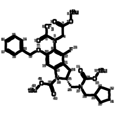 CC(C)(C)OC(=O)CN(C(=O)C(F)(F)F)c1c(OCc2ccccc2)cc2c(c1F)C[C@H](CN(CC1CCCC1)C(=O)OC(C)(C)C)N2C(=O)OC(C)(C)C